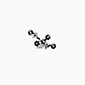 COc1ccccc1Oc1c(NS(=O)(=O)C=Cc2ccccn2)nc(-c2ccncc2)nc1OCCOC(=O)Nc1cnccn1